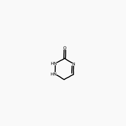 O=C1N=CCNN1